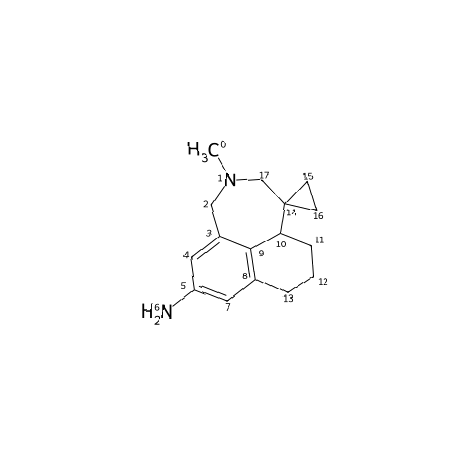 CN1Cc2cc(N)cc3c2C(CCC3)C2(CC2)C1